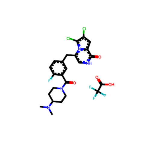 CN(C)C1CCN(C(=O)c2cc(Cc3c[nH]c(=O)c4cc(Cl)c(Cl)n34)ccc2F)CC1.O=C(O)C(F)(F)F